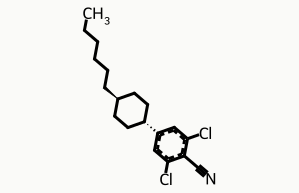 CCCCCC[C@H]1CC[C@H](c2cc(Cl)c(C#N)c(Cl)c2)CC1